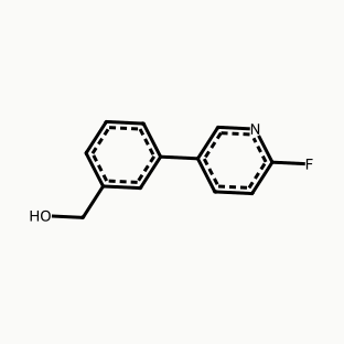 OCc1cccc(-c2ccc(F)nc2)c1